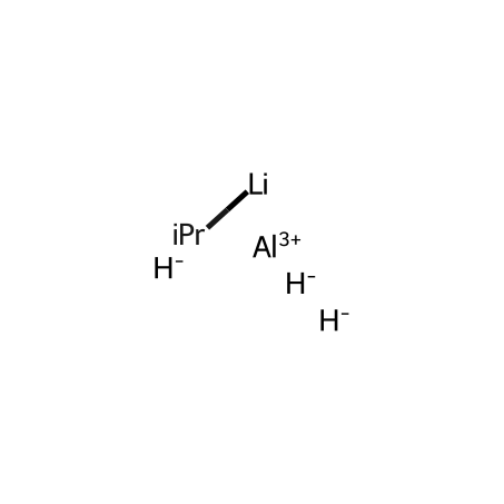 [Al+3].[H-].[H-].[H-].[Li][CH](C)C